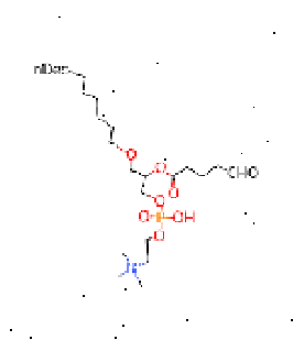 CCCCCCCCCCCCCCCCOCC(COP(=O)(O)OCC[N+](C)(C)C)OC(=O)CCCC=O